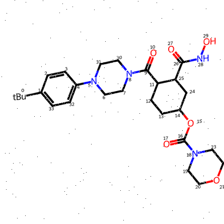 CC(C)(C)c1ccc(N2CCN(C(=O)C3CCC(OC(=O)N4CCOCC4)CC3C(=O)NO)CC2)cc1